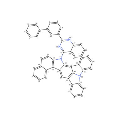 c1ccc(-c2cccc(-c3nc(-n4c5ccc6ccccc6c5c5cc6c7ccccc7n7c8ccccc8c(c54)c67)c4ccccc4n3)c2)cc1